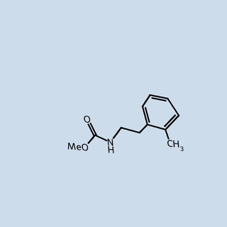 COC(=O)NCCc1ccccc1C